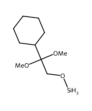 COC(CO[SiH3])(OC)C1CCCCC1